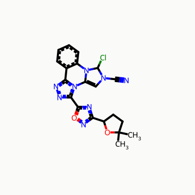 CC1(C)CCC(c2noc(-c3nnc4n3C3=CN(C#N)C(Cl)N3c3ccccc3-4)n2)O1